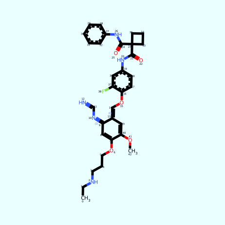 CCNCCCOC1=CC(=N/C=N)/C(=C/Oc2ccc(NC(=O)C3(C(=O)Nc4ccccc4)CCC3)cc2F)C=C1OC